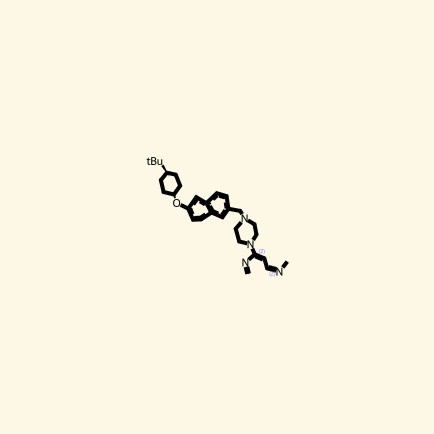 C=N/C(=C\C=N/C)N1CCN(Cc2ccc3cc(O[C@H]4CC[C@H](C(C)(C)C)CC4)ccc3c2)CC1